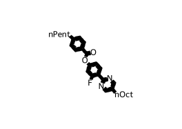 CCCCCCCCc1cnc(-c2ccc(OC(=O)c3ccc(CCCCC)cc3)cc2F)nc1